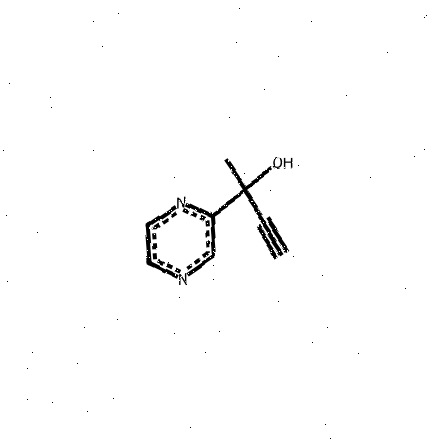 C#CC(C)(O)c1cnccn1